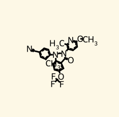 COc1ccc(N2CN(c3ccc(C#N)cc3C)c3ccc(OC(F)(F)F)cc3C2=O)c(C)n1